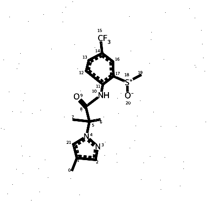 Cc1cnn(C(C)(C)C(=O)Nc2ccc(C(F)(F)F)cc2[S+](C)[O-])c1